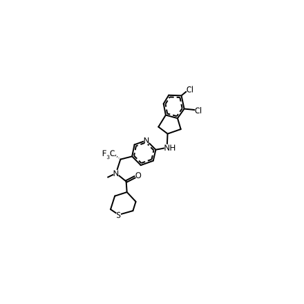 CN(C(=O)C1CCSCC1)[C@@H](c1ccc(NC2Cc3ccc(Cl)c(Cl)c3C2)nc1)C(F)(F)F